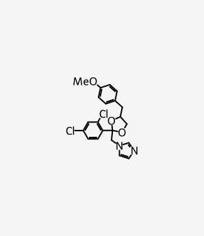 COc1ccc(CC2COC(Cn3ccnc3)(c3ccc(Cl)cc3Cl)O2)cc1